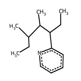 CCC(C)C(C)C(CC)c1ccccn1